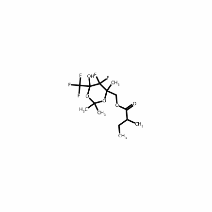 CCC(C)C(=O)OCC1(C)OC(C)(C)OC(O)(C(F)(F)F)C1(F)F